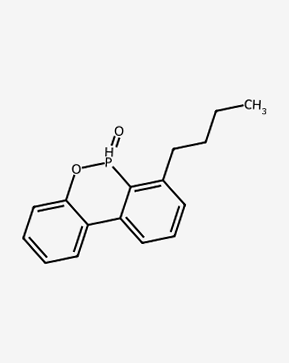 CCCCc1cccc2c1[PH](=O)Oc1ccccc1-2